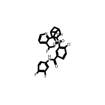 O=C(Nc1ccc(F)c(F)c1)c1ccc(Cl)c(S(=O)(=O)C2CC3CC(C2)C3(O)C(O)c2ncccc2C(F)F)c1